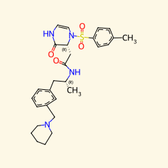 Cc1ccc(S(=O)(=O)N2C=CNC(=O)[C@H]2CC(=O)N[C@H](C)Cc2cccc(CN3CCCCC3)c2)cc1